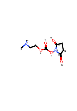 CN(C)CCOC(=O)ON1C(=O)CCC1=O